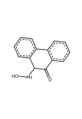 O=C1c2ccccc2-c2ccccc2C1PO